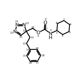 O=C(NC1CCCCC1)OCC1(CCc2ccccc2)C=NN=N1